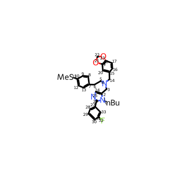 CCCCn1c(CN(CCc2ccc(SC)cc2)Cc2ccc3c(c2)OCO3)cnc1-c1cccc(F)c1